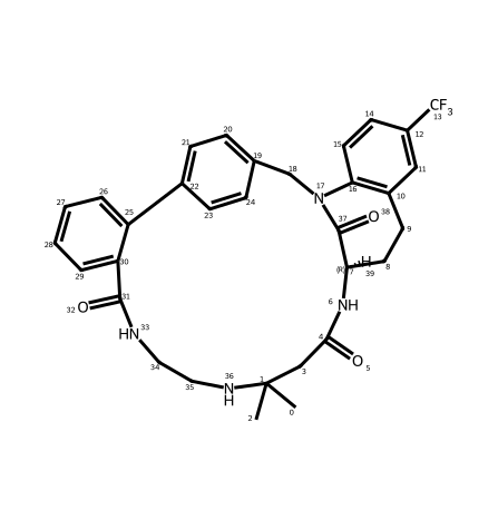 CC1(C)CC(=O)N[C@@H]2CCc3cc(C(F)(F)F)ccc3N(Cc3ccc(cc3)-c3ccccc3C(=O)NCCN1)C2=O